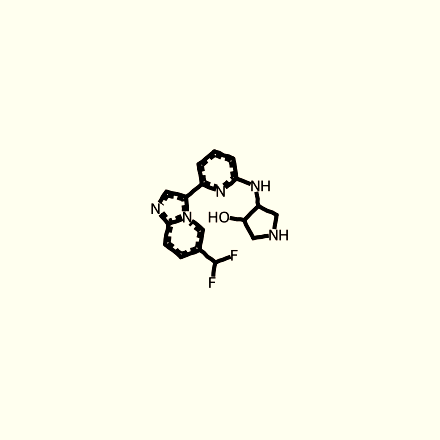 OC1CNCC1Nc1cccc(-c2cnc3ccc(C(F)F)cn23)n1